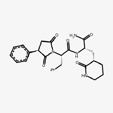 CC(C)C[C@@H](C(=O)N[C@@H](C[C@@H]1CCCNC1=O)C(N)=O)N1C(=O)C[C@H](c2ccccc2)C1=O